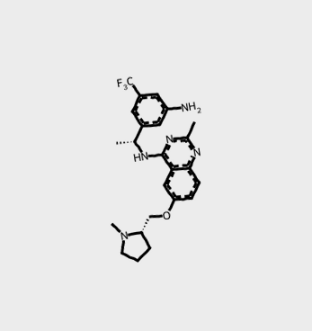 Cc1nc(N[C@H](C)c2cc(N)cc(C(F)(F)F)c2)c2cc(OC[C@@H]3CCCN3C)ccc2n1